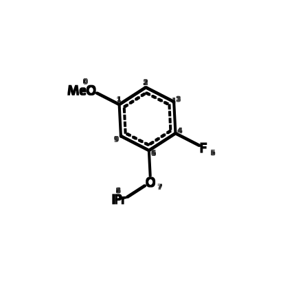 COc1c[c]c(F)c(OC(C)C)c1